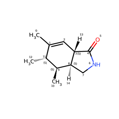 CC1=C[C@@H]2C(=O)NC[C@H]2[C@@H](C)[C@@H]1C